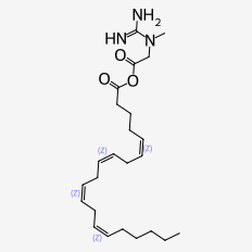 CCCCC/C=C\C/C=C\C/C=C\C/C=C\CCCC(=O)OC(=O)CN(C)C(=N)N